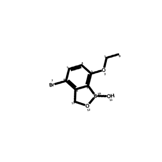 CCOc1ccc(Br)c2c1B(O)OC2